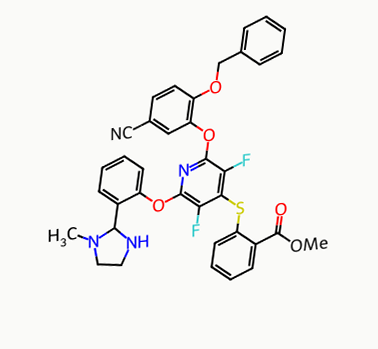 COC(=O)c1ccccc1Sc1c(F)c(Oc2cc(C#N)ccc2OCc2ccccc2)nc(Oc2ccccc2C2NCCN2C)c1F